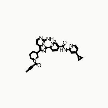 CC#CC(=O)N1CCCC(c2nc(-c3ccc(C(=O)Nc4cc(C5CC5)ccn4)cn3)n3c(N)nccc23)C1